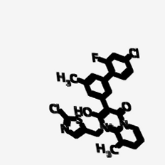 Cc1cc(-c2ccc(Cl)cc2F)cc(-c2c(O)[n+](Cc3cnc(Cl)s3)c3c(C)cccn3c2=O)c1